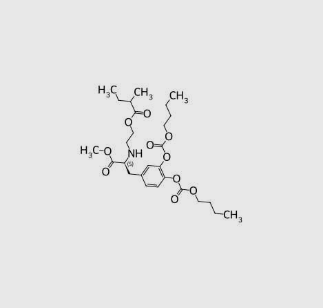 CCCCOC(=O)Oc1ccc(C[C@H](NCCOC(=O)C(C)CC)C(=O)OC)cc1OC(=O)OCCCC